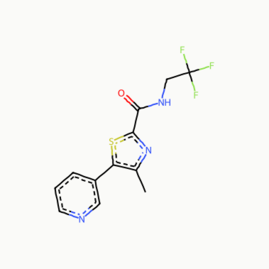 Cc1nc(C(=O)NCC(F)(F)F)sc1-c1cccnc1